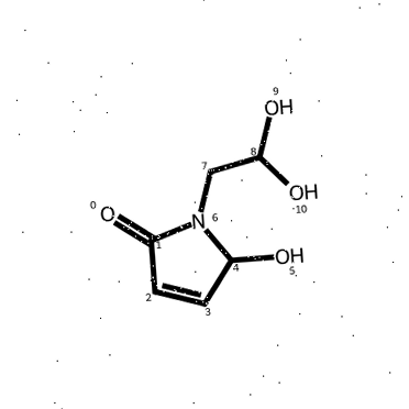 O=C1C=CC(O)N1CC(O)O